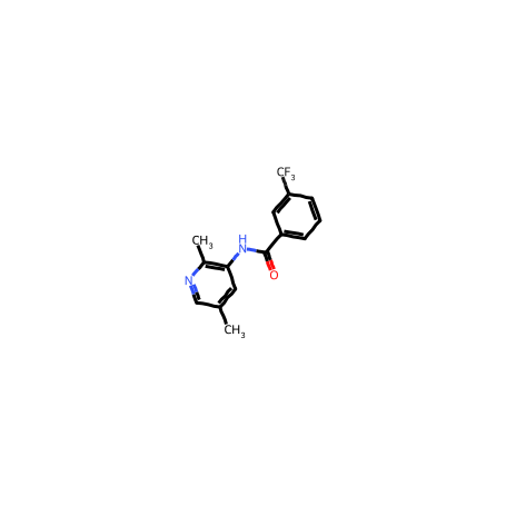 Cc1cnc(C)c(NC(=O)c2cccc(C(F)(F)F)c2)c1